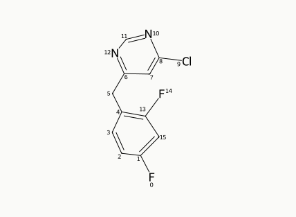 Fc1ccc(Cc2cc(Cl)ncn2)c(F)c1